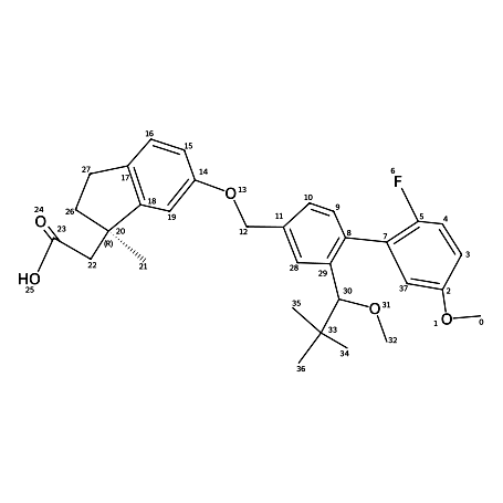 COc1ccc(F)c(-c2ccc(COc3ccc4c(c3)[C@@](C)(CC(=O)O)CC4)cc2C(OC)C(C)(C)C)c1